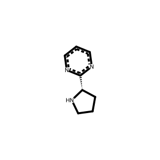 c1cnc([C@@H]2CCCN2)nc1